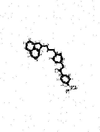 O=C(Cc1ccc(CCCC2Cc3cccc4cccc2c34)cc1)c1ccc([N+](=O)[O-])cc1